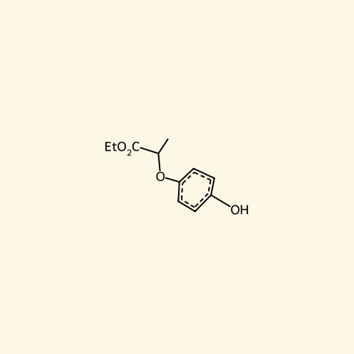 CCOC(=O)C(C)Oc1ccc(O)cc1